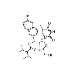 Cc1cn([C@H]2C[C@@H](OP(OCc3ccc4cc(Br)ccc4c3)N(C(C)C)C(C)C)C(CO)O2)c(=O)[nH]c1=O